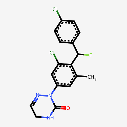 Cc1cc(N2N=CCNC2=O)cc(Cl)c1C(F)c1ccc(Cl)cc1